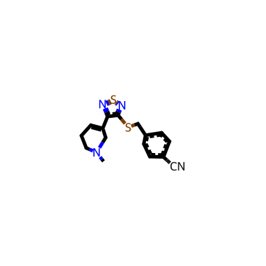 CN1CCC=C(c2nsnc2SCc2ccc(C#N)cc2)C1